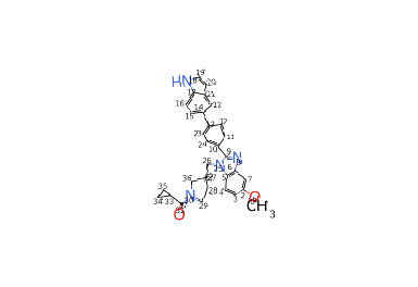 COc1ccc2c(c1)nc(-c1ccc(-c3ccc4[nH]ccc4c3)cc1)n2C[C@H]1CCN(C(=O)C2CC2)C1